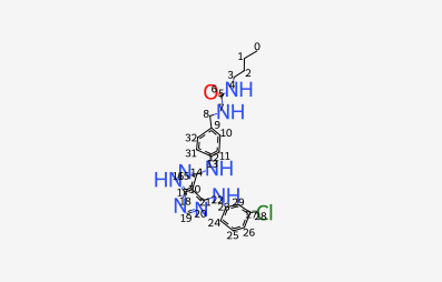 CCCCNC(=O)NCc1ccc(Nc2n[nH]c3ncnc(Nc4cccc(Cl)c4)c23)cc1